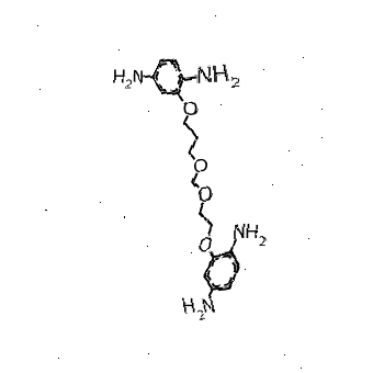 Nc1ccc(N)c(OCCCOCOCCOc2cc(N)ccc2N)c1